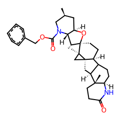 C[C@H]1C[C@H]2O[C@]3(CC[C@H]4C5CC[C@H]6NC(=O)CC[C@]6(C)[C@H]5C[C@@]45C[C@]53C)[C@H](C)[C@@H]2N(C(=O)OCc2ccccc2)C1